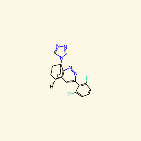 Fc1cccc(F)c1-c1cc2c(nn1)[C@]1(n3cnnc3)CCC[C@H]2CC1